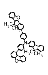 CC1(C)c2ccccc2-c2ccc(N(c3ccc(-c4ccc5c(c4)C(C)(C)c4c-5oc5ccccc45)cc3)c3ccc(-c4cccc5oc6ccccc6c45)cc3)cc21